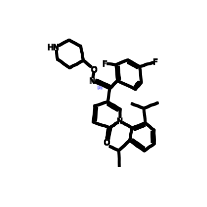 CC(C)c1cccc(C(C)C)c1-n1cc(/C(=N/OC2CCNCC2)c2ccc(F)cc2F)ccc1=O